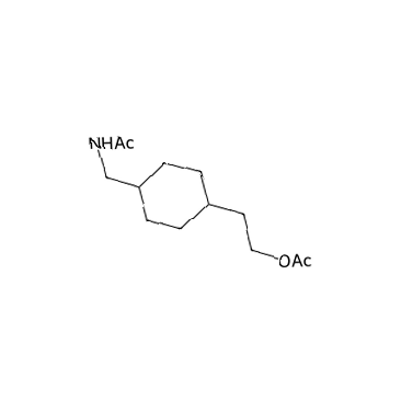 CC(=O)NCC1CCC(CCOC(C)=O)CC1